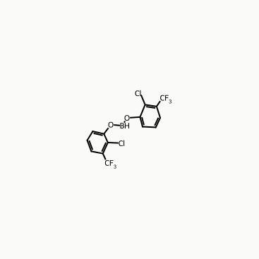 FC(F)(F)c1cccc(OBOc2cccc(C(F)(F)F)c2Cl)c1Cl